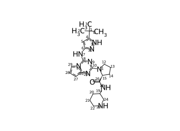 CC(C)(C)c1cc(Nc2nc(N3CCC[C@H]3C(=O)N[C@@H]3CCCNC3)nc3cccn23)n[nH]1